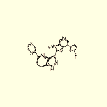 Fc1ccc(-c2cncc3[nH]c(-c4n[nH]c5ccc(-c6cnccn6)nc45)nc23)s1